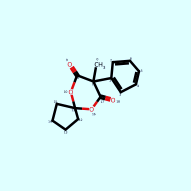 CC1(c2ccccc2)C(=O)OC2(CCCC2)OC1=O